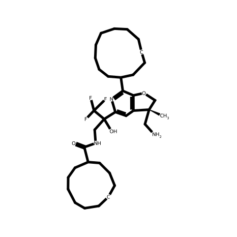 C[C@]1(CN)COc2c1cc(C(O)(CNC(=O)C1CCCCCCCCCC1)C(F)(F)F)nc2C1CCCCCCCCCCC1